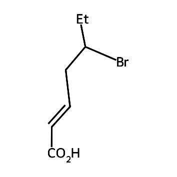 CCC(Br)CC=CC(=O)O